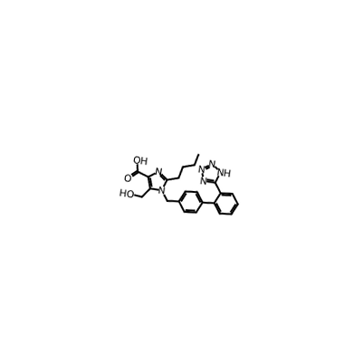 CCCCc1nc(C(=O)O)c(CO)n1Cc1ccc(-c2ccccc2-c2nnn[nH]2)cc1